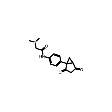 CN(C)CC(=O)Nc1ccc(C23CC2C(=O)CC3=O)cc1